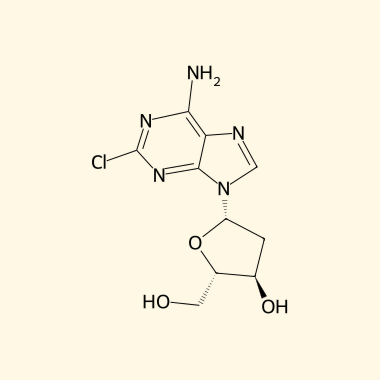 Nc1nc(Cl)nc2c1ncn2[C@@H]1C[C@@H](O)[C@H](CO)O1